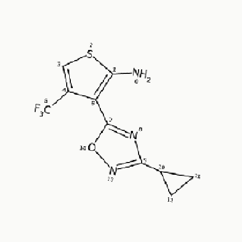 Nc1scc(C(F)(F)F)c1-c1nc(C2CC2)no1